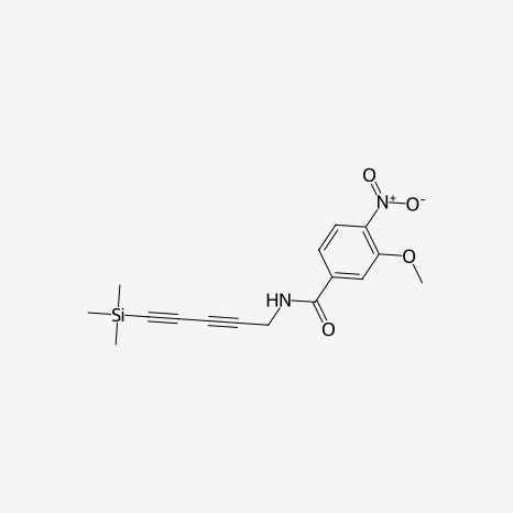 COc1cc(C(=O)NCC#CC#C[Si](C)(C)C)ccc1[N+](=O)[O-]